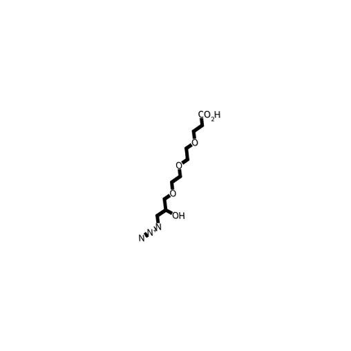 [N-]=[N+]=NCC(O)COCCOCCOCCC(=O)O